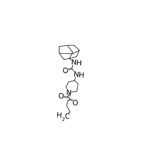 C=CCS(=O)(=O)N1CCC(NC(=O)NC23CC4CC(CC(C4)C2)C3)CC1